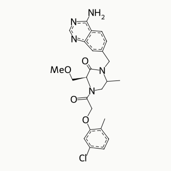 COC[C@H]1C(=O)N(Cc2ccc3c(N)ncnc3c2)C(C)CN1C(=O)COc1cc(Cl)ccc1C